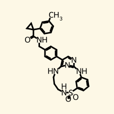 Cc1cccc(C2(C(=O)NCc3ccc(-c4cnc5nc4NCCCNS(=O)(=O)c4cccc(c4)N5)cc3)CC2)c1